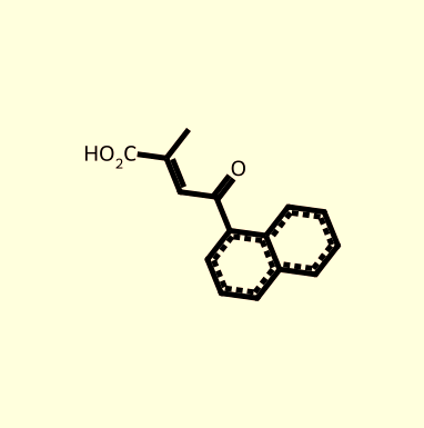 CC(=CC(=O)c1cccc2ccccc12)C(=O)O